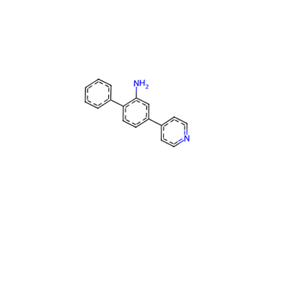 Nc1cc(-c2ccncc2)ccc1-c1ccccc1